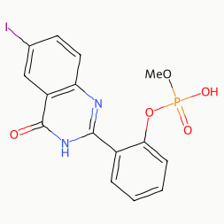 COP(=O)(O)Oc1ccccc1-c1nc2ccc(I)cc2c(=O)[nH]1